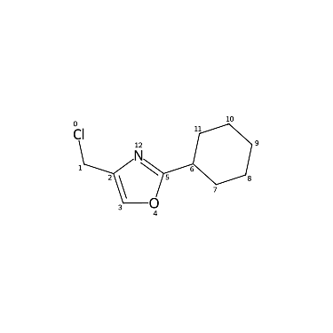 ClCc1coc(C2CCCCC2)n1